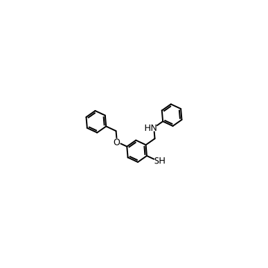 Sc1ccc(OCc2ccccc2)cc1CNc1ccccc1